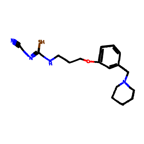 N#C/N=C(\S)NCCCOc1cccc(CN2CCCCC2)c1